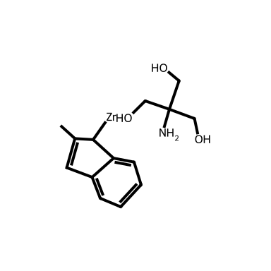 CC1=Cc2ccccc2[CH]1[Zr].NC(CO)(CO)CO